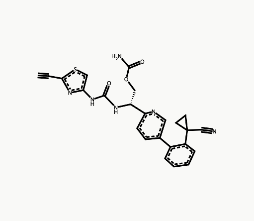 C#Cc1nc(NC(=O)N[C@H](COC(N)=O)c2ccc(-c3ccccc3C3(C#N)CC3)cn2)cs1